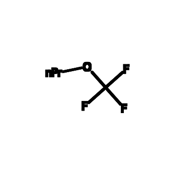 [CH2]CCOC(F)(F)F